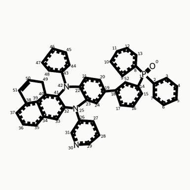 O=P(c1ccccc1)(c1ccccc1)c1cccc(-c2ccc3c(c2)N(c2cccnc2)c2cc4cccc5c4c(c2N3c2ccccc2)CC=C5)c1